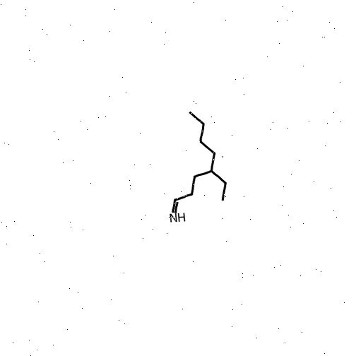 CCCCC(CC)CCC=N